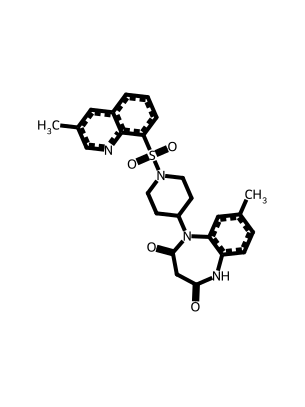 Cc1ccc2c(c1)N(C1CCN(S(=O)(=O)c3cccc4cc(C)cnc34)CC1)C(=O)CC(=O)N2